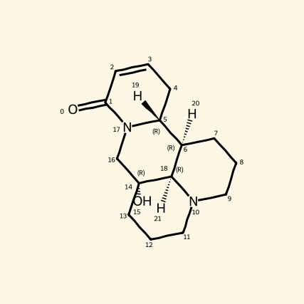 O=C1C=CC[C@@H]2[C@H]3CCCN4CCC[C@@](O)(CN12)[C@@H]34